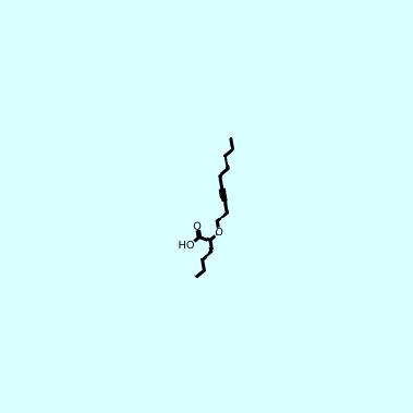 CCCCCC#CCCOC(CCCC)C(=O)O